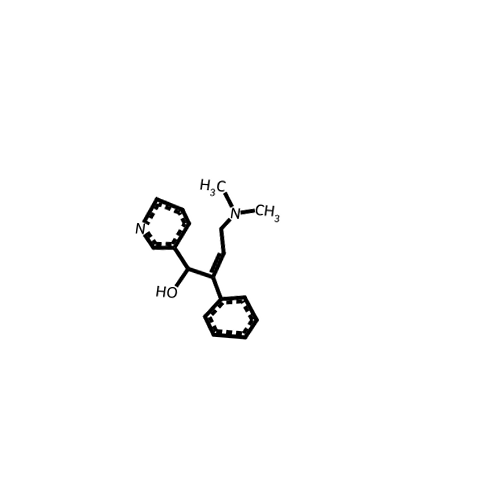 CN(C)CC=C(c1ccccc1)C(O)c1cccnc1